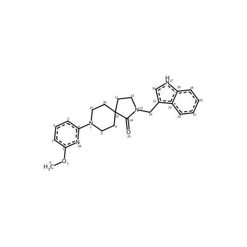 COc1cccc(N2CCC3(CCN(Cc4c[nH]c5ccccc45)C3=O)CC2)n1